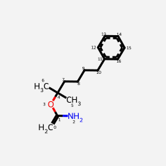 C=C(N)OC(C)(C)CCCCc1ccccc1